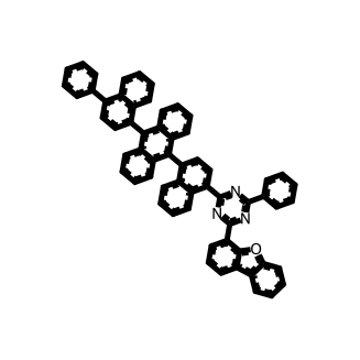 c1ccc(-c2nc(-c3ccc(-c4c5ccccc5c(-c5ccc(-c6ccccc6)c6ccccc56)c5ccccc45)c4ccccc34)nc(-c3cccc4c3oc3ccccc34)n2)cc1